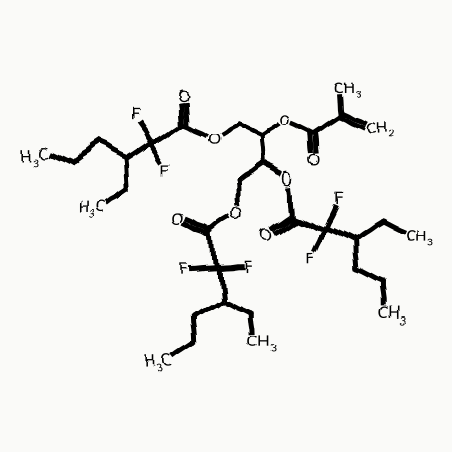 C=C(C)C(=O)OC(COC(=O)C(F)(F)C(CC)CCC)C(COC(=O)C(F)(F)C(CC)CCC)OC(=O)C(F)(F)C(CC)CCC